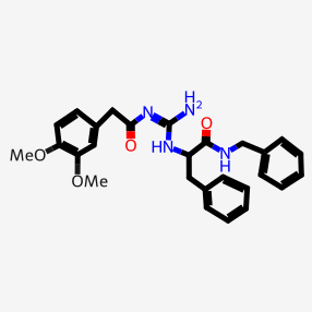 COc1ccc(CC(=O)N=C(N)NC(Cc2ccccc2)C(=O)NCc2ccccc2)cc1OC